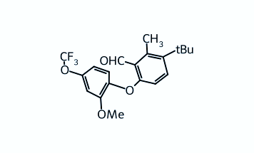 COc1cc(OC(F)(F)F)ccc1Oc1ccc(C(C)(C)C)c(C)c1C=O